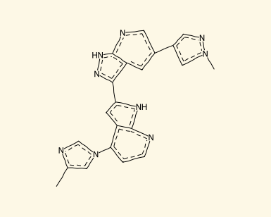 Cc1cn(-c2ccnc3[nH]c(-c4n[nH]c5ncc(-c6cnn(C)c6)cc45)cc23)cn1